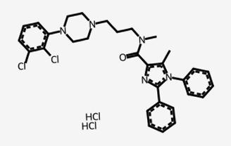 Cc1c(C(=O)N(C)CCCN2CCN(c3cccc(Cl)c3Cl)CC2)nc(-c2ccccc2)n1-c1ccccc1.Cl.Cl